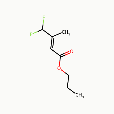 CCCOC(=O)/C=C(\C)C(F)F